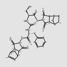 CC(C)C[C@H](NC(=O)N[C@H](Cc1ccccc1)C(=O)ON1C(=O)C2C3C=CC(C3)C2C1=O)C(=O)ON1C(=O)C2C3CCC(C3)C2C1=O